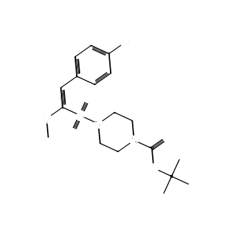 CO/C(=C/c1ccc(Cl)cc1)S(=O)(=O)N1CCN(C(=O)OC(C)(C)C)CC1